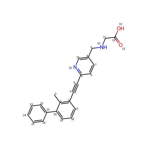 Cc1c(C#Cc2ccc(CNCC(=O)O)cn2)cccc1-c1ccccc1